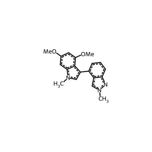 COc1cc(OC)c2c(-c3cccc4nn(C)cc34)cn(C)c2c1